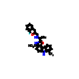 CCC(C)C(NCC(=O)Cc1ccccc1F)C(=O)N[C@]1(C(=O)O)CCc2[nH]c3c(C(F)(F)F)cccc3c2C1